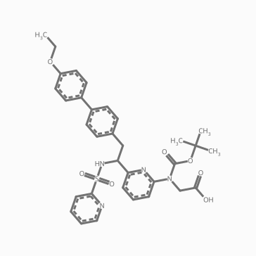 CCOc1ccc(-c2ccc(CC(NS(=O)(=O)c3ccccn3)c3cccc(N(CC(=O)O)C(=O)OC(C)(C)C)n3)cc2)cc1